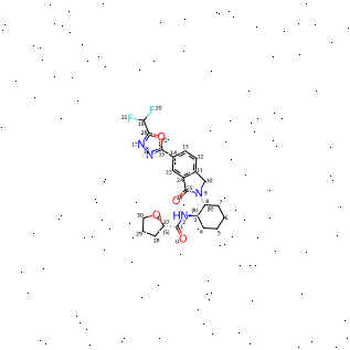 O=C(N[C@@H]1CCCC[C@H]1N1Cc2ccc(-c3nnc(C(F)F)o3)cc2C1=O)[C@@H]1CCCO1